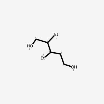 CCC(CO)C(CC)CCO